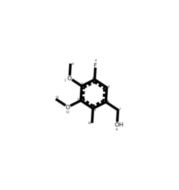 COc1c(F)cc(CO)c(C)c1OC